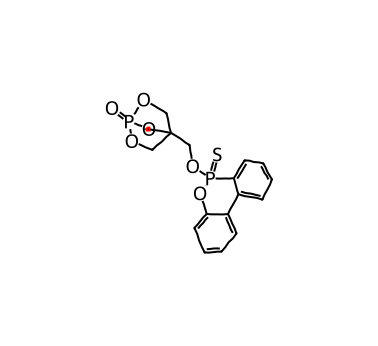 O=P12OCC(COP3(=S)Oc4ccccc4-c4ccccc43)(CO1)CO2